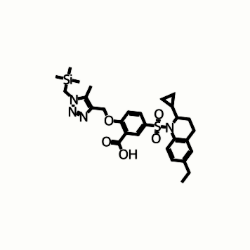 CCc1ccc2c(c1)CCC(C1CC1)N2S(=O)(=O)c1ccc(OCc2nnn(C[Si](C)(C)C)c2C)c(C(=O)O)c1